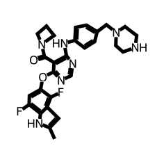 Cc1cc2c(F)c(Oc3ncnc(Nc4ccc(CN5CCNCC5)cc4)c3C(=O)N3CCC3)cc(F)c2[nH]1